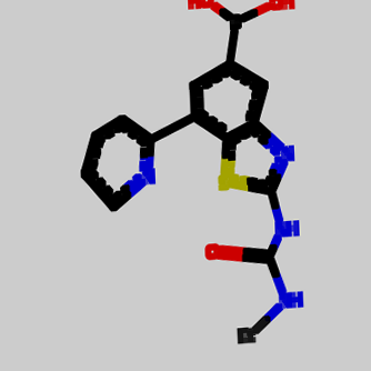 CCNC(=O)Nc1nc2cc(B(O)O)cc(-c3ccccn3)c2s1